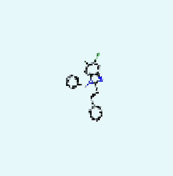 Fc1cc2nc(/C=C/c3ccccc3)n(Cc3ccccc3)c2cc1F